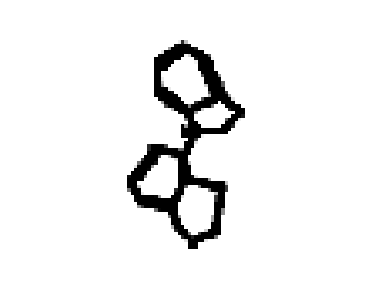 [c]1ccc2c(c1[SH]1CCc3ccccc31)CCS2